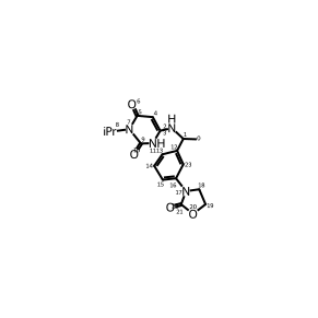 CC(Nc1cc(=O)n(C(C)C)c(=O)[nH]1)c1cccc(N2CCOC2=O)c1